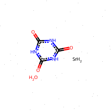 O.O=c1[nH]c(=O)[nH]c(=O)[nH]1.[SrH2]